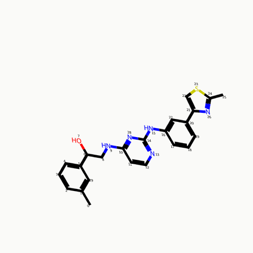 Cc1cccc(C(O)CNc2ccnc(Nc3cccc(-c4csc(C)n4)c3)n2)c1